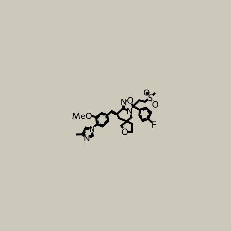 COc1cc(/C=C2\CC3(CCOC3)CN3C2=NOC3(CCS(C)(=O)=O)c2ccc(F)cc2)ccc1-n1cnc(C)c1